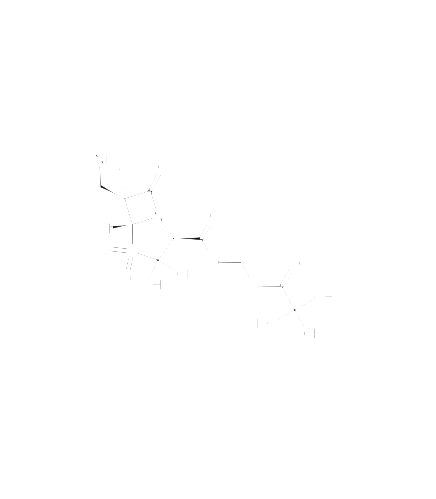 CC(C)(C)C(=O)OCOC(=O)[C@@H]1N2C(=O)[C@H](CN)[C@H]2S(=O)(=O)C1(C)C